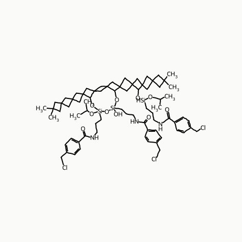 CC(C)O[SiH](CCCNC(=O)c1ccc(CCl)cc1)OC1C2(CC3(CC(C)(C)C3)C2)CC12CC1(C2)CC23CC4(C2)CC2(CC5(CC6(CC(C)(C)C6)C5)C2)C4O[Si](CCCNC(=O)c2ccc(CCl)cc2)(OC(C)C)O[Si](O)(CCCNC(=O)c2ccc(CCl)cc2)OC13